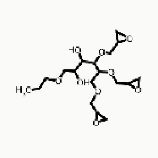 CCCOCC(O)C(O)C(OCC1CO1)C(COCC1CO1)OCC1CO1